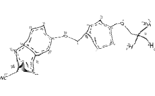 [2H]C([2H])([2H])Oc1ccc(COc2ccc3nc(C#N)sc3c2)cc1